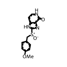 COc1ccc(C[S+]([O-])c2nc3c(=O)[nH]ccc3[nH]2)cc1